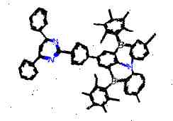 Cc1ccc2c(c1)B(c1c(C)c(C)c(C)c(C)c1C)c1cc(-c3ccc(-c4nc(-c5ccccc5)cc(-c5ccccc5)n4)cc3)cc3c1N2c1ccc(C)cc1B3c1c(C)c(C)c(C)c(C)c1C